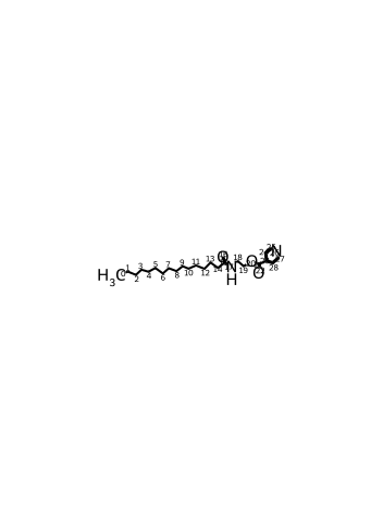 CCCCCCCCCCCCCCCC(=O)NCCOC(=O)c1ccncc1